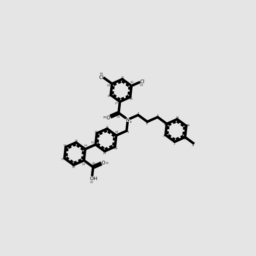 Cc1ccc(CCCN(Cc2ccc(-c3ccccc3C(=O)O)cc2)C(=O)c2cc(Cl)cc(Cl)c2)cc1